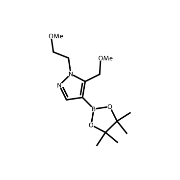 COCCn1ncc(B2OC(C)(C)C(C)(C)O2)c1COC